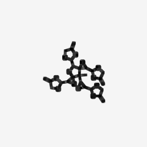 C=C1COC(C2OC2C2(C)C3(OC3C3OCC(=C)O3)OC(C3OCC(=C)O3)C23OC3C2OCC(=C)O2)O1